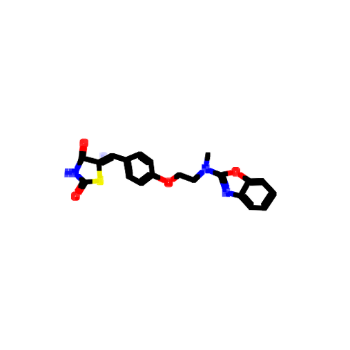 CN(CCOc1ccc(/C=C2\SC(=O)NC2=O)cc1)c1nc2ccccc2o1